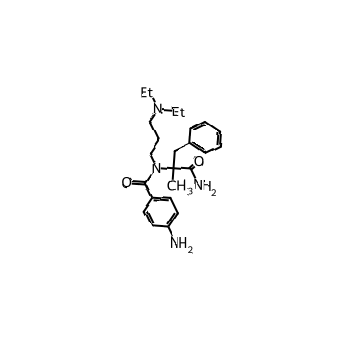 CCN(CC)CCCN(C(=O)c1ccc(N)cc1)C(C)(Cc1ccccc1)C(N)=O